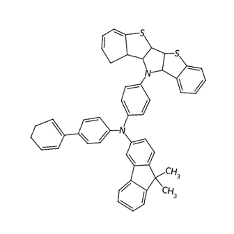 CC1(C)c2ccccc2-c2cc(N(c3ccc(C4=CCCC=C4)cc3)c3ccc(N4C5c6ccccc6SC5C5SC6=CC=CCC6C54)cc3)ccc21